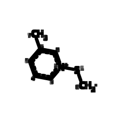 [CH2]S[n+]1cccc(C)c1